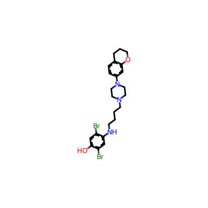 Oc1cc(Br)c(NCCCCN2CCN(c3ccc4c(c3)OCCC4)CC2)cc1Br